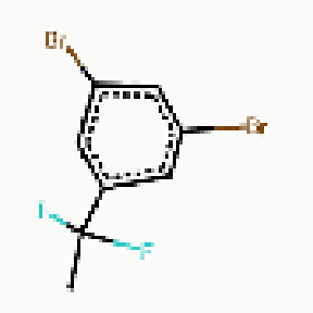 CC(F)(F)c1cc(Br)cc(Br)c1